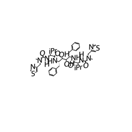 CC(C)[C@H](NC(=O)N(C)Cc1cscn1)C(=O)N[C@@H](Cc1ccccc1)[C@@H](O)[C@H](O)[C@H](Cc1ccccc1)NC(=O)[C@@H](NC(=O)N(C)Cc1cscn1)C(C)C